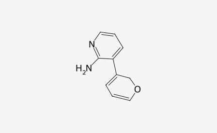 Nc1ncccc1C1=CC=COC1